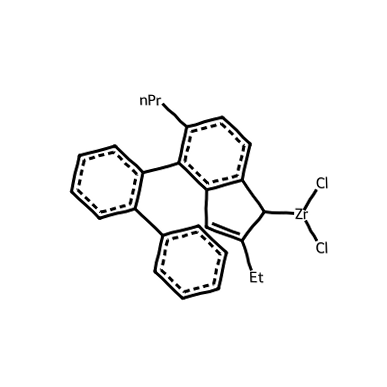 CCCc1ccc2c(c1-c1ccccc1-c1ccccc1)C=C(CC)[CH]2[Zr]([Cl])[Cl]